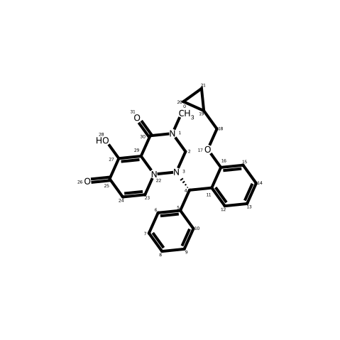 CN1CN([C@@H](c2ccccc2)c2ccccc2OCC2CC2)n2ccc(=O)c(O)c2C1=O